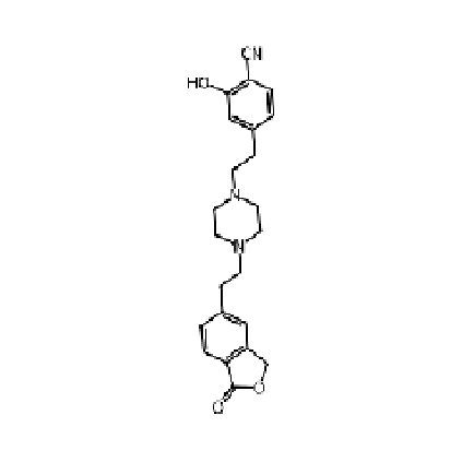 N#Cc1ccc(CCN2CCN(CCc3ccc4c(c3)COC4=O)CC2)cc1O